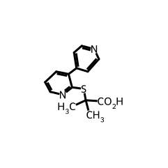 CC(C)(Sc1ncccc1-c1ccncc1)C(=O)O